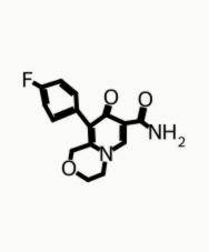 NC(=O)c1cn2c(c(-c3ccc(F)cc3)c1=O)COCC2